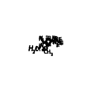 C=CCN(C(=O)CC)C(C#N)c1ccc(-c2noc(C(F)(F)F)n2)cc1